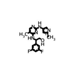 Cc1cnc(Nc2cnn(C)c2)nc1NC(CO)c1cc(F)cc(F)c1